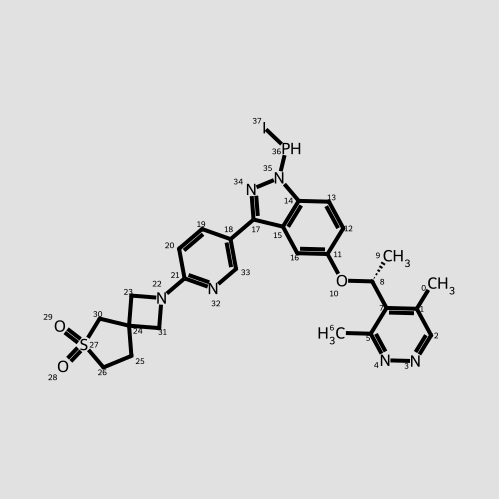 Cc1cnnc(C)c1[C@@H](C)Oc1ccc2c(c1)c(-c1ccc(N3CC4(CCS(=O)(=O)C4)C3)nc1)nn2PI